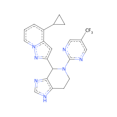 FC(F)(F)c1cnc(N2CCc3[nH]cnc3C2c2cc3c(C4CC4)cccn3n2)nc1